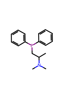 CC(CP(c1ccccc1)c1ccccc1)N(C)C